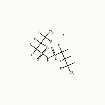 O=S(=O)(NS(=O)(=O)C(F)(F)C(F)(F)C(F)(F)C(F)(F)F)C(F)(F)C(F)(F)C(F)(F)C(F)(F)F.[K]